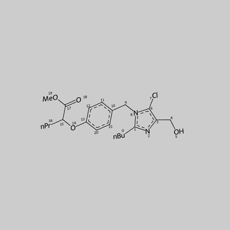 CCCCc1nc(CO)c(Cl)n1Cc1ccc(OC(CCC)C(=O)OC)cc1